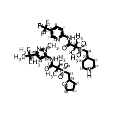 CC(C)(C(=O)Nc1ccc(C(F)(F)F)cn1)S(=O)(=O)CC1CCNCC1.Cn1nc(C(C)(C)C)cc1NC(=O)C(C)(C)S(=O)(=O)CC1CCCO1